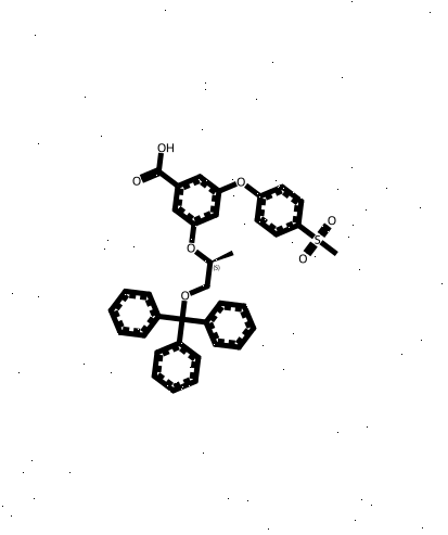 C[C@@H](COC(c1ccccc1)(c1ccccc1)c1ccccc1)Oc1cc(Oc2ccc(S(C)(=O)=O)cc2)cc(C(=O)O)c1